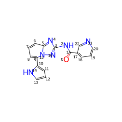 O=C(Nc1nc2cccc(-c3ccc[nH]3)n2n1)c1cccnc1